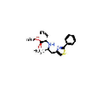 CCCCOC(=O)[C@H](CC(C)C)N[C@@H](Cc1csc(-c2ccccc2)n1)C(=O)O